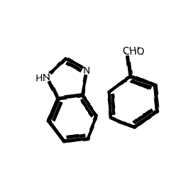 O=Cc1ccccc1.c1ccc2[nH]cnc2c1